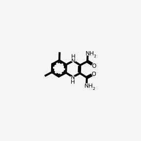 Cc1cc(C)c2c(c1)NC(C(N)=O)=C(C(N)=O)N2